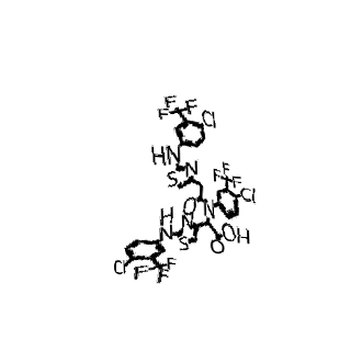 O=C(O)C(c1csc(Nc2ccc(Cl)c(C(F)(F)F)c2)n1)N(C(=O)Cc1csc(Nc2ccc(Cl)c(C(F)(F)F)c2)n1)c1ccc(Cl)c(C(F)(F)F)c1